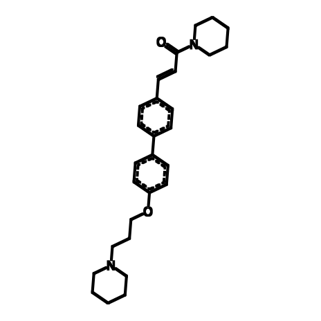 O=C(C=Cc1ccc(-c2ccc(OCCCN3CCCCC3)cc2)cc1)N1CCCCC1